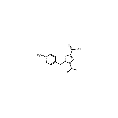 Cc1ccc(Cc2cc(C(=O)O)nn2C(F)F)cc1